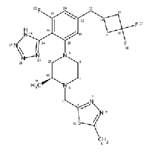 Cc1nnc(CN2CCN(c3cc(CC4CC(F)(F)C4)cc(F)c3-c3nnn[nH]3)C[C@@H]2C)s1